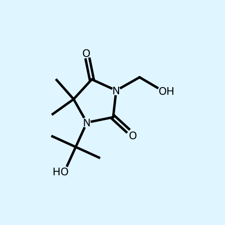 CC(C)(O)N1C(=O)N(CO)C(=O)C1(C)C